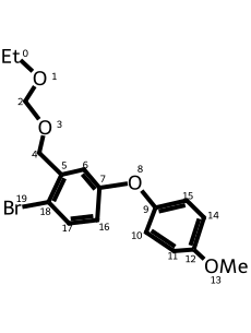 CCOCOCc1cc(Oc2ccc(OC)cc2)ccc1Br